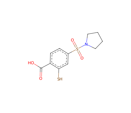 O=C(O)c1ccc(S(=O)(=O)N2CCCC2)cc1S